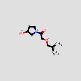 CC(C)COCC(=O)N1CCC(O)C1